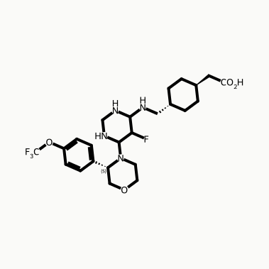 O=C(O)C[C@H]1CC[C@H](CNC2NCNC(N3CCOC[C@@H]3c3ccc(OC(F)(F)F)cc3)C2F)CC1